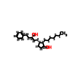 CCCCCCC[C@@H]1[C@@H](CC[C@@H](O)CCc2ccccc2)CC[C@@H]1O